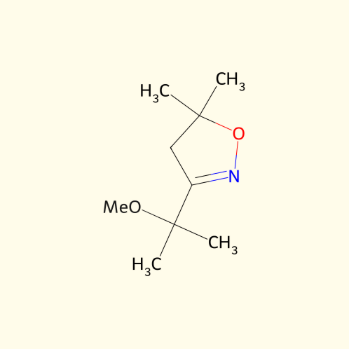 COC(C)(C)C1=NOC(C)(C)C1